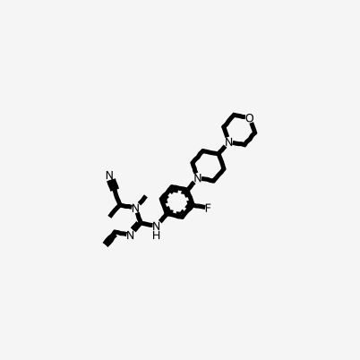 C=C/N=C(/Nc1ccc(N2CCC(N3CCOCC3)CC2)c(F)c1)N(C)C(C)C#N